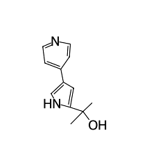 CC(C)(O)c1cc(-c2ccncc2)c[nH]1